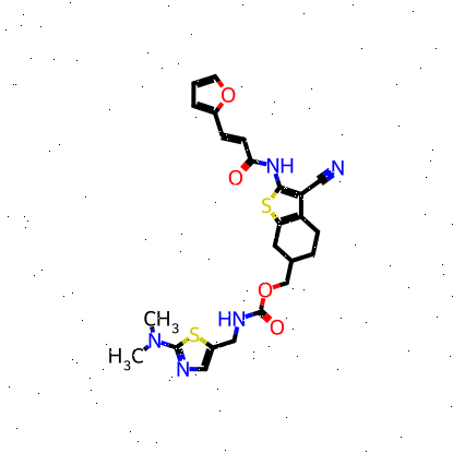 CN(C)c1ncc(CNC(=O)OCC2CCc3c(sc(NC(=O)C=Cc4ccco4)c3C#N)C2)s1